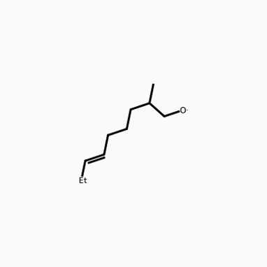 CCC=CCCCC(C)C[O]